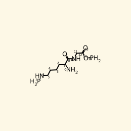 N[C@@H](CCCCNP)C(=O)NCC(=O)OP